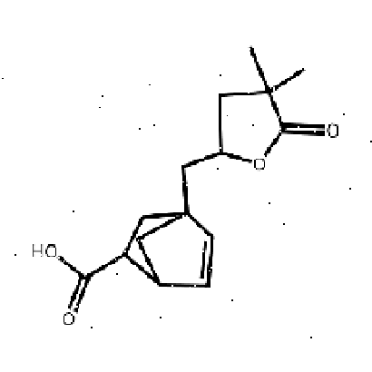 CC1(C)CC(CC23C=CC(C2)C(C(=O)O)C3)OC1=O